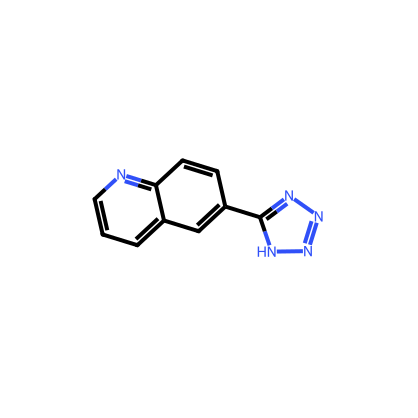 c1cnc2ccc(-c3nnn[nH]3)cc2c1